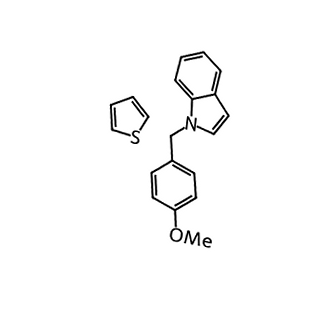 COc1ccc(Cn2ccc3ccccc32)cc1.c1ccsc1